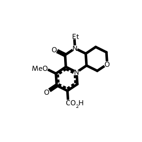 CCN1C(=O)c2c(OC)c(=O)c(C(=O)O)cn2C2COCCC21